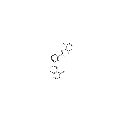 CC(=Nc1c(C)cccc1F)c1cccc(C(C)=Nc2c(C)cccc2F)n1